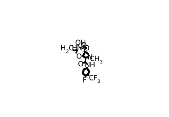 C=C[C@]1(CO)COc2c(cn(C)c2C(=O)Nc2ccc(F)c(C(F)(F)F)c2)S(=O)(=O)N1